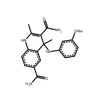 COc1cccc(NC2(C)C(C(N)=O)=C(C)Nc3ccc(C(N)=O)cc32)c1